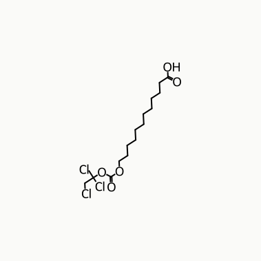 O=C(O)CCCCCCCCCCCOC(=O)OC(Cl)(Cl)CCl